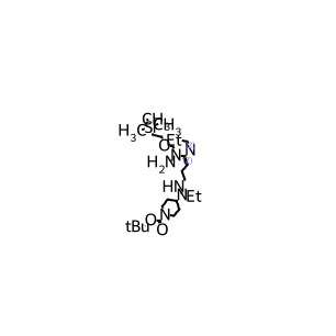 CC/C=N\C(=C\CCNN(CC)C1CCN(C(=O)OC(C)(C)C)CC1)N(N)COCC[Si](C)(C)C